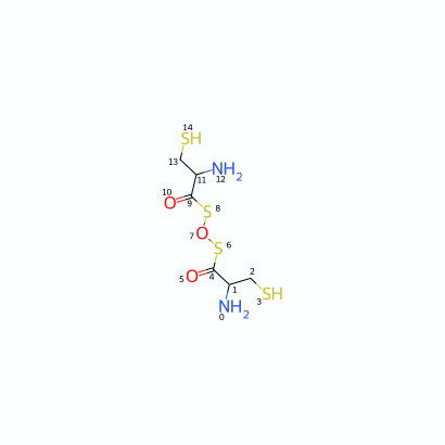 NC(CS)C(=O)SOSC(=O)C(N)CS